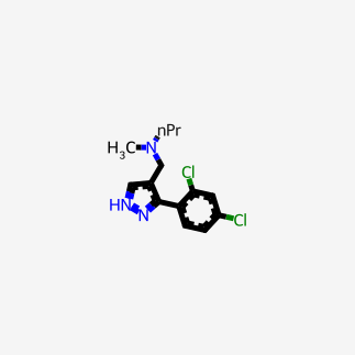 CCCN(C)Cc1c[nH]nc1-c1ccc(Cl)cc1Cl